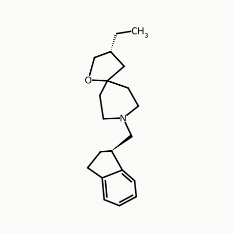 CC[C@H]1COC2(CCN(C[C@@H]3CCc4ccccc43)CC2)C1